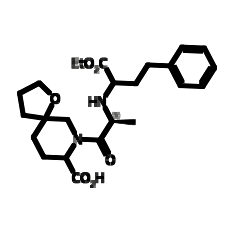 CCOC(=O)C(CCc1ccccc1)N[C@@H](C)C(=O)N1CC2(CCCO2)CCC1C(=O)O